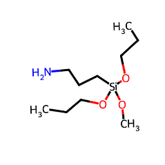 CCCO[Si](CCCN)(OC)OCCC